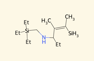 CCC(NC[Si](CC)(CC)CC)C(C)=C(C)[SiH3]